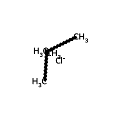 CCCCCCCCCCCCCCCCCCC[N+](C)(C)CCCCCCCCCCCCCCCCC.[Cl-]